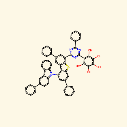 Oc1c(O)c(O)c(-c2nc(-c3ccccc3)nc(-c3cc(-c4ccccc4)cc4c3sc3cc(-c5ccccc5)cc(-n5c6ccccc6c6cc(-c7ccccc7)ccc65)c34)n2)c(O)c1O